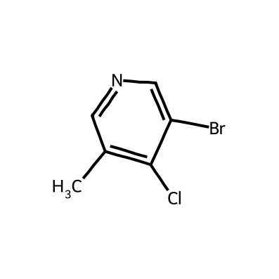 Cc1cncc(Br)c1Cl